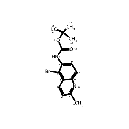 Cc1ccc2c(Br)c(NC(=O)OC(C)(C)C)ccc2n1